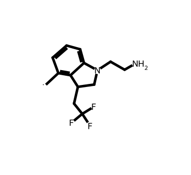 [CH2]c1cccc2c1C(CC(F)(F)F)CN2CCN